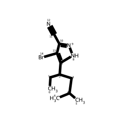 CCC(CC(C)C)c1[nH]nc(C#N)c1Br